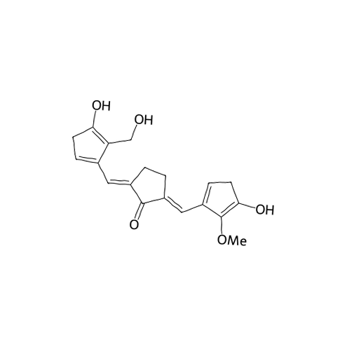 COC1=C(O)CC=C1/C=C1\CC/C(=C\C2=CCC(O)=C2CO)C1=O